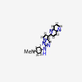 CN[C@H]1CC[C@@H](Nc2ncc3c(-c4ccc5ncccc5n4)ccn3n2)CC1